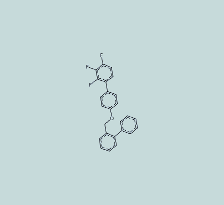 Fc1ccc(-c2ccc(OCc3ccccc3-c3ccccc3)cc2)c(F)c1F